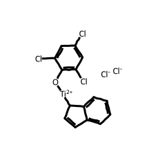 Clc1cc(Cl)c([O][Ti+2][CH]2C=Cc3ccccc32)c(Cl)c1.[Cl-].[Cl-]